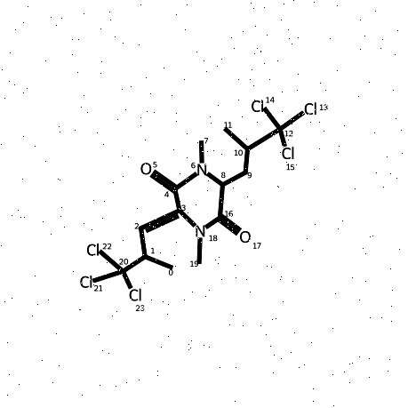 CC(/C=C1/C(=O)N(C)C(CC(C)C(Cl)(Cl)Cl)C(=O)N1C)C(Cl)(Cl)Cl